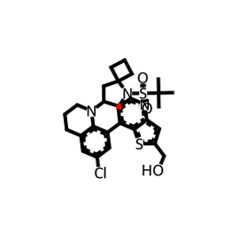 CC(C)(C)S(=O)(=O)N1CC(N2CCCc3cc(Cl)cc(-c4ccnc5cc(CO)sc45)c32)CC12CCC2